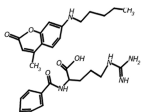 CCCCCNc1ccc2c(C)cc(=O)oc2c1.N=C(N)NCCCC(NC(=O)c1ccccc1)C(=O)O